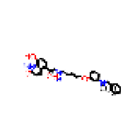 O=C(O)N(Cc1ccccc1)c1cccc(OCCCCCNC[C@H](O)c2ccc(O)c3[nH]c(=O)ccc23)c1